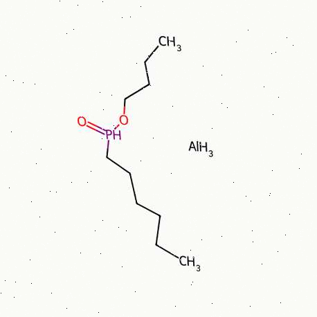 CCCCCC[PH](=O)OCCCC.[AlH3]